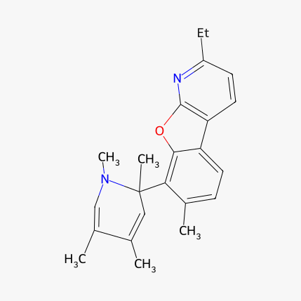 CCc1ccc2c(n1)oc1c(C3(C)C=C(C)C(C)=CN3C)c(C)ccc12